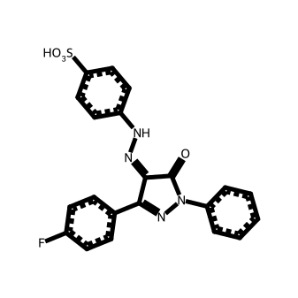 O=C1C(=NNc2ccc(S(=O)(=O)O)cc2)C(c2ccc(F)cc2)=NN1c1ccccc1